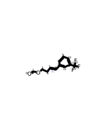 O=[C]OCC/C=C/c1cccc(C(F)(F)F)c1